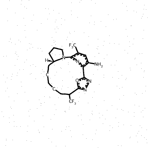 Nc1cc(C(F)(F)F)c2nc1-c1nnc(o1)C(C(F)(F)F)CCCCC[C@@H]1CCCN21